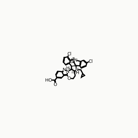 O=C(O)c1ccc2nn3c(c2c1)OCC[C@H]1[C@@H]3C(c2cccc(Cl)c2F)[C@]2(C(=O)Nc3cc(Cl)ccc32)N1CC1CC1